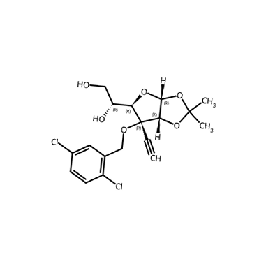 C#C[C@@]1(OCc2cc(Cl)ccc2Cl)[C@@H]([C@H](O)CO)O[C@@H]2OC(C)(C)O[C@@H]21